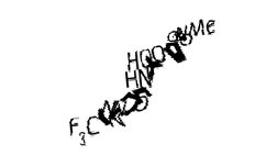 CNS(=O)(=O)c1cccc(OCC(O)CNC2COC3(CCN(c4ncc(C(F)(F)F)cn4)CC3)C2)c1